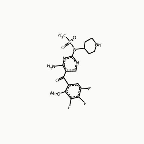 COc1c(C(=O)c2cnc(N(C3CCNCC3)S(C)(=O)=O)nc2N)cc(F)c(F)c1F